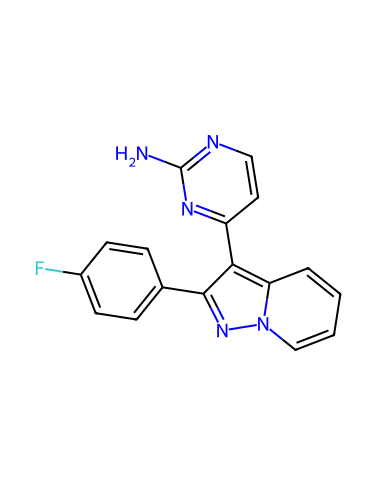 Nc1nccc(-c2c(-c3ccc(F)cc3)nn3ccccc23)n1